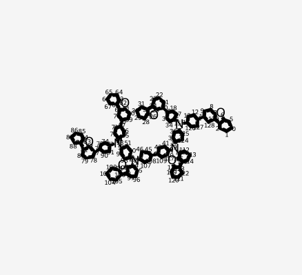 c1ccc2c(c1)oc1ccc(-c3ccc(N(c4ccc(-c5cccc6c5oc5ccccc56)cc4)c4ccc(N(c5ccc(-c6ccc(N(c7ccc(N(c8ccc(-c9ccc%10oc%11ccccc%11c%10c9)cc8)c8ccc(-c9cccc%10c9oc9ccccc9%10)cc8)cc7)c7cccc8c7oc7ccccc78)cc6)cc5)c5cccc6c5oc5ccccc56)cc4)cc3)cc12